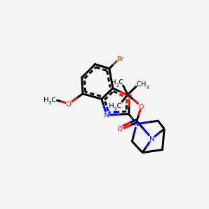 COc1ccc(Br)c2oc(N3CC4CC(C3)N4C(=O)OC(C)(C)C)nc12